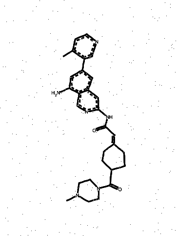 Cc1ccncc1-c1cc(N)c2cnc(NC(=O)C=C3CCC(C(=O)N4CCN(C)CC4)CC3)cc2c1